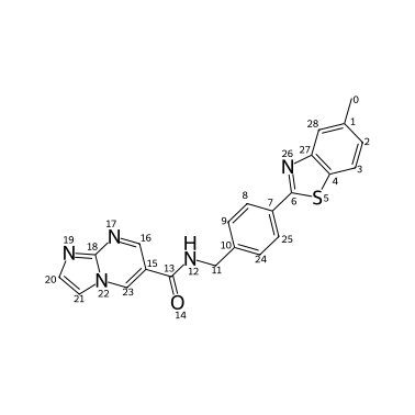 Cc1ccc2sc(-c3ccc(CNC(=O)c4cnc5nccn5c4)cc3)nc2c1